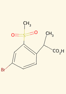 CC(C(=O)O)c1ccc(Br)cc1S(C)(=O)=O